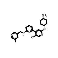 N[C@H]1CC[C@H](Nc2cc(-c3cccc(NCc4cncc(F)c4)n3)c(Cl)cn2)CC1